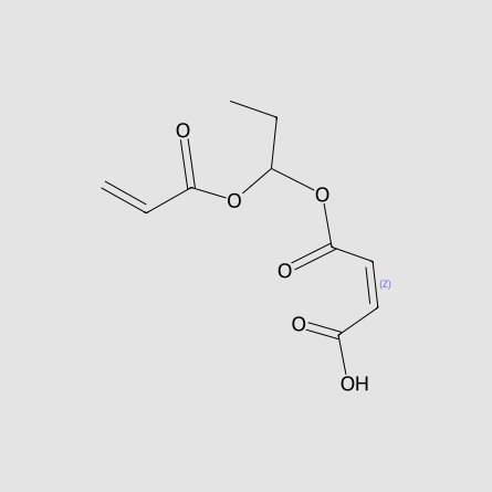 C=CC(=O)OC(CC)OC(=O)/C=C\C(=O)O